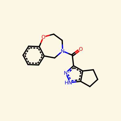 O=C(c1n[nH]c2c1CCC2)N1CCOc2ccccc2C1